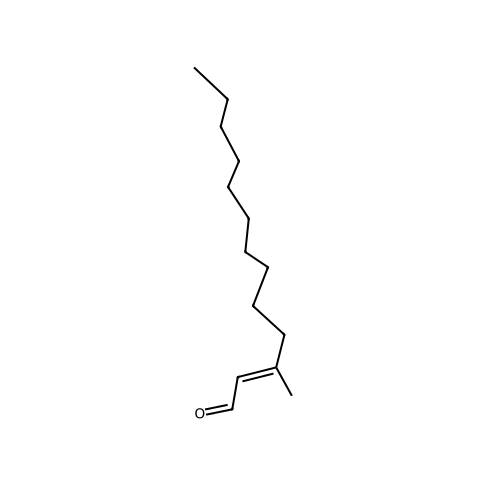 CCCCCCCCCCC(C)=CC=O